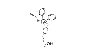 C#CCSc1nn(CC2CCC(CCCC(=C)O)CC2)c(C2C=CC=CC2)c1-c1ccccc1